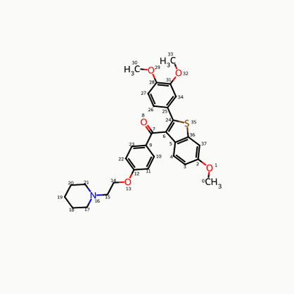 COc1ccc2c(C(=O)c3ccc(OCCN4CCCCC4)cc3)c(-c3ccc(OC)c(OC)c3)sc2c1